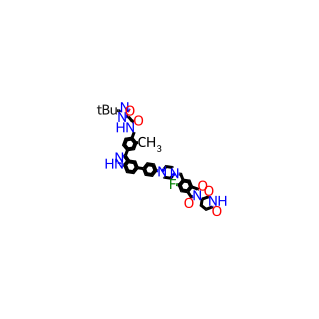 Cc1cc(-c2n[nH]c3ccc(-c4ccc(N5CCN(Cc6cc7c(cc6F)C(=O)N(C6CCC(=O)NC6=O)C7=O)CC5)cc4)cc23)ccc1CNC(=O)c1nc(C(C)(C)C)no1